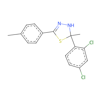 Cc1ccc(C2=NNC(C)(c3ccc(Cl)cc3Cl)S2)cc1